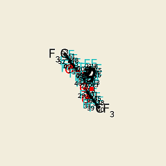 FOC(F)(C(F)(F)OC12C(F)(F)C3(F)C(F)(F)C(F)(C1(F)F)C(F)(F)C(OC(F)(F)C(F)(OF)C(F)(F)C(F)(F)C(F)(F)F)(C3(F)F)C2(F)F)C(F)(F)C(F)(F)C(F)(F)F